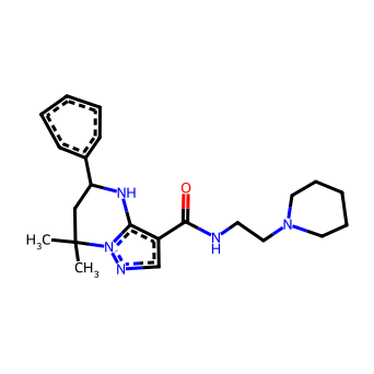 CC1(C)CC(c2ccccc2)Nc2c(C(=O)NCCN3CCCCC3)cnn21